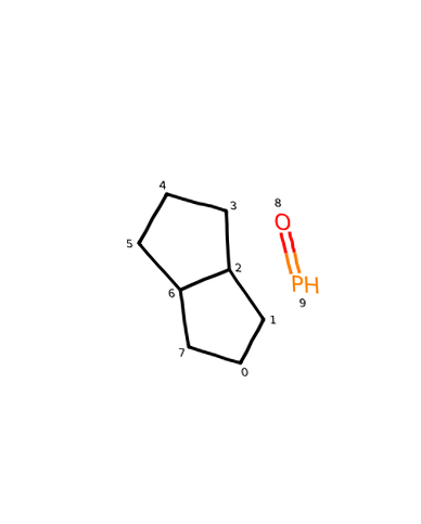 C1CC2CCCC2C1.O=P